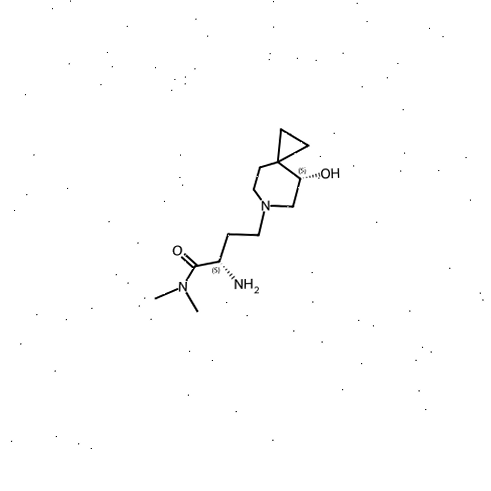 CN(C)C(=O)[C@@H](N)CCN1CCC2(CC2)[C@H](O)C1